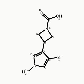 Cn1cc(Br)c(C2CN(C(=O)O)C2)n1